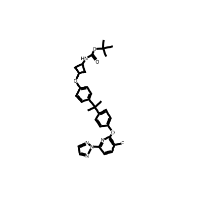 CC(C)(C)OC(=O)NC1CC(Oc2ccc(C(C)(C)c3ccc(Oc4nc(-n5nccn5)ccc4F)cc3)cc2)C1